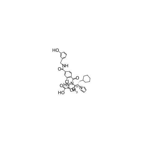 C[C@H](NN(C(=O)c1ccc(C(=O)NCc2cccc(O)c2)cc1Cl)C(=O)[C@H](CC1CCCCC1)n1cccc1)C(=O)O